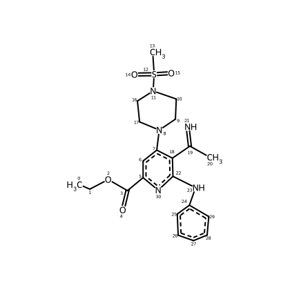 CCOC(=O)c1cc(N2CCN(S(C)(=O)=O)CC2)c(C(C)=N)c(Nc2ccccc2)n1